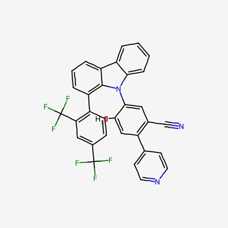 Cc1cc(-c2ccncc2)c(C#N)cc1-n1c2ccccc2c2cccc(-c3ccc(C(F)(F)F)cc3C(F)(F)F)c21